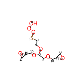 OOOSCCOC(COCC1CO1)OCC1CO1